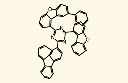 c1ccc(-c2ccc3oc4cccc(-c5nc(-c6ccc7c8c(cccc68)-c6ccccc6-7)nc(-c6cccc7oc8ccccc8c67)n5)c4c3c2)cc1